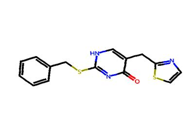 O=c1nc(SCc2ccccc2)[nH]cc1Cc1nccs1